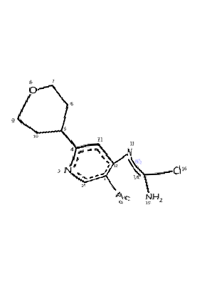 CC(=O)c1cnc(C2CCOCC2)cc1/N=C(\N)Cl